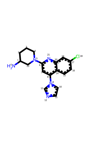 NC1CCCN(c2cc(-n3ccnc3)c3ccc(Cl)cc3n2)C1